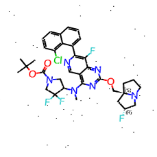 CN(c1nc(OC[C@@]23CCCN2C[C@H](F)C3)nc2c(F)c(-c3cccc4cccc(Cl)c34)ncc12)C1CN(C(=O)OC(C)(C)C)CC1(F)F